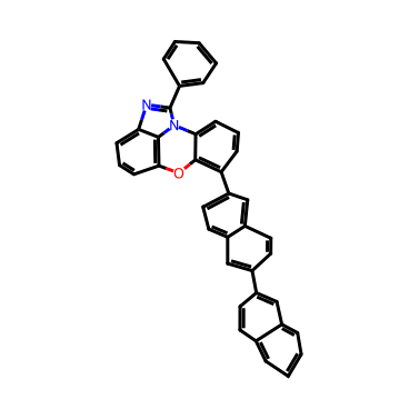 c1ccc(-c2nc3cccc4c3n2-c2cccc(-c3ccc5cc(-c6ccc7ccccc7c6)ccc5c3)c2O4)cc1